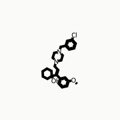 COc1cccc(C(=CCN2CCN(Cc3cccc(Cl)c3)CC2)C2(O)CCCCC2)c1